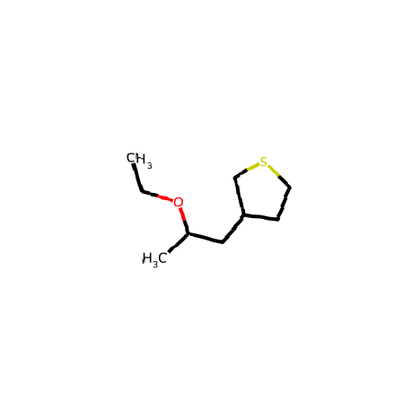 CCOC(C)CC1CCSC1